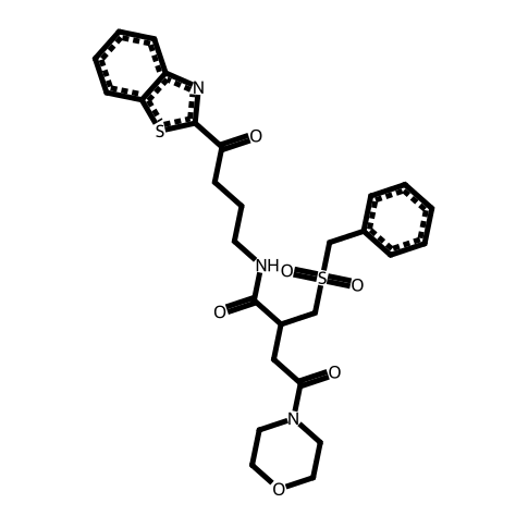 O=C(CCCNC(=O)C(CC(=O)N1CCOCC1)CS(=O)(=O)Cc1ccccc1)c1nc2ccccc2s1